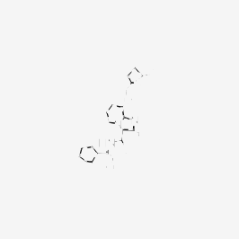 Cc1nc2c(OCc3ccc(Cl)s3)cccn2c1C(=O)N[C@@H](CO)c1ccccc1